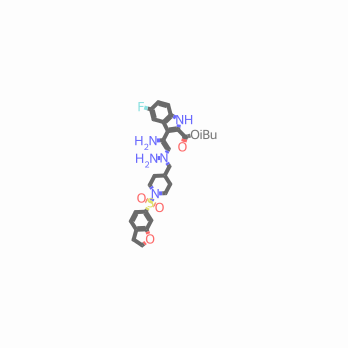 CC(C)COC(=O)c1[nH]c2ccc(F)cc2c1/C(N)=C/N(N)CC1CCN(S(=O)(=O)c2ccc3c(c2)OCC3)CC1